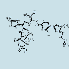 C[n+]1cc(-c2ccc(OC[C@H](O/N=C(\C(=O)NC3C(=O)N(OS(=O)(=O)[O-])C3(C)C)c3csc(N)n3)C(=O)O)cc2F)cn1CCCN